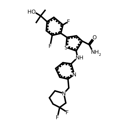 CC(C)(O)c1cc(F)c(-c2cc(C(N)=O)c(Nc3cccc(CN4CCCC(F)(F)C4)n3)s2)c(F)c1